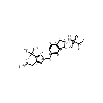 CC(C)S(=O)(=O)N[C@H]1Cc2ccc(Cn3cc(CCO)c(C(F)(F)F)n3)cc2C1